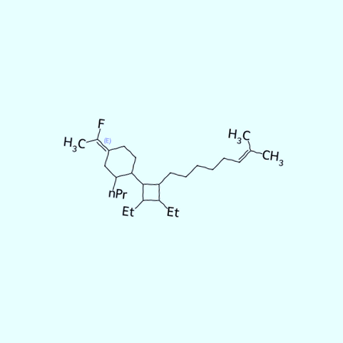 CCCC1C/C(=C(\C)F)CCC1C1C(CC)C(CC)C1CCCCCC=C(C)C